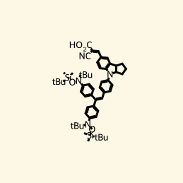 CC(C)(C)N(O[Si](C)(C)C(C)(C)C)c1ccc(C(=Cc2ccc(N3c4ccc(/C=C(\C#N)C(=O)O)cc4C4CCCC43)cc2)c2ccc(N(O[Si](C)(C)C(C)(C)C)C(C)(C)C)cc2)cc1